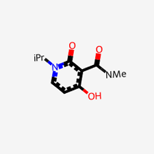 CNC(=O)c1c(O)ccn(C(C)C)c1=O